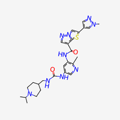 Cc1ncc(NC(=O)NCC2CCN(C(C)C)CC2)cc1NC(=O)c1cnn2cc(-c3cnn(C)c3)sc12